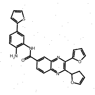 Nc1ccc(-c2cccs2)cc1NC(=O)c1ccc2nc(C3CC=CO3)c(-c3ccco3)nc2c1